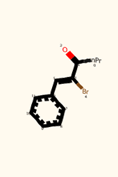 CCCC(=O)C(Br)=Cc1ccccc1